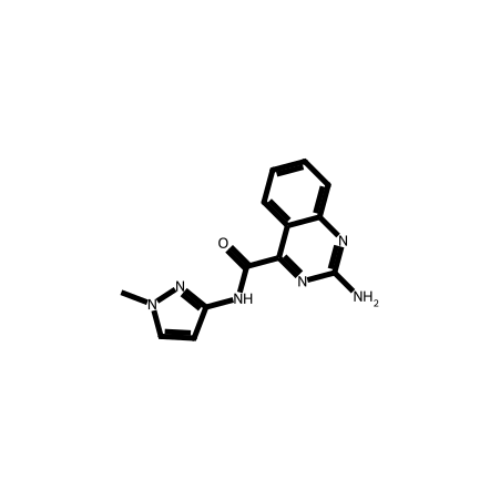 Cn1ccc(NC(=O)c2nc(N)nc3ccccc23)n1